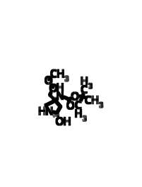 COOC[C@]1(NC(=O)OC(C)(C)C)CN[C@@H](O)C1